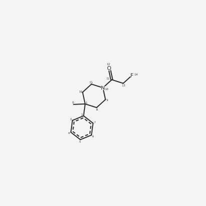 CC1(c2ccccc2)CCN(C(=O)CF)CC1